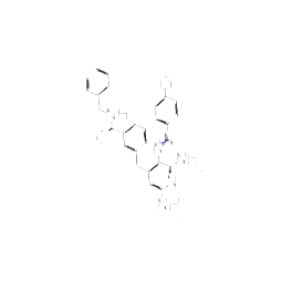 Nc1cc(Cc2cccc(C(=O)NCc3ccccc3)c2)c(/N=N/c2ccc(Cl)cc2)c(N)n1